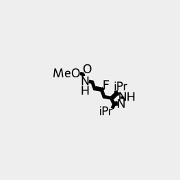 COC(=O)NC/C=C(\F)Cc1c(C(C)C)n[nH]c1C(C)C